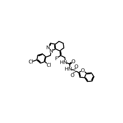 O=C(NC/C(F)=C1\CCCc2cnn(Cc3ccc(Cl)cc3Cl)c21)NS(=O)(=O)c1cc2ccccc2o1